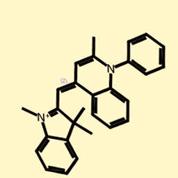 CC1=C/C(=C/C2=[N+](C)c3ccccc3C2(C)C)c2ccccc2N1c1ccccc1